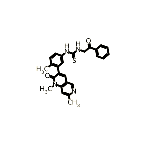 Cc1cc2c(cn1)cc(-c1cc(NC(=S)NCC(=O)c3ccccc3)ccc1C)c(=O)n2C